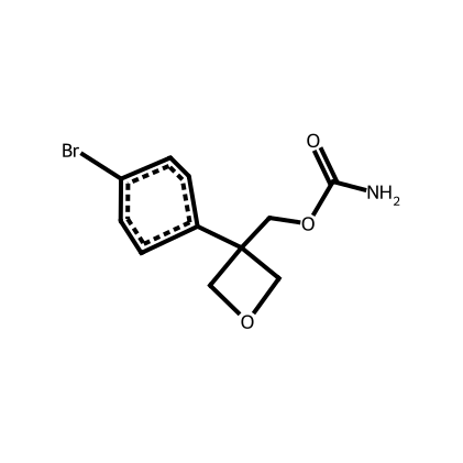 NC(=O)OCC1(c2ccc(Br)cc2)COC1